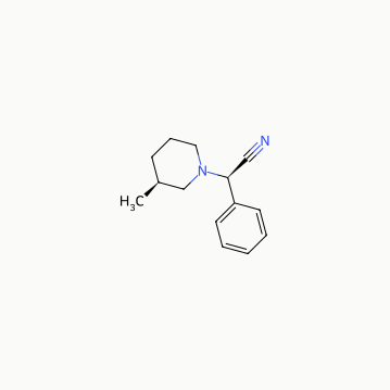 C[C@H]1CCCN([C@@H](C#N)c2ccccc2)C1